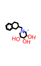 C[C@@H]1[C@@H](O)[C@H](O)[C@@H](O)CN1CC1CCc2ccccc2C1